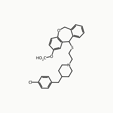 O=C(O)Oc1ccc2c(c1)C(SCCN1CCC(Cc3ccc(Cl)cc3)CC1)c1ccccc1CO2